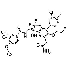 COc1cc(C(=O)NC[C@](O)(c2cc(CC(N)=O)c(OCCF)c(-c3ccc(F)c(Cl)c3)n2)C(F)(F)F)ccc1OC1CC1